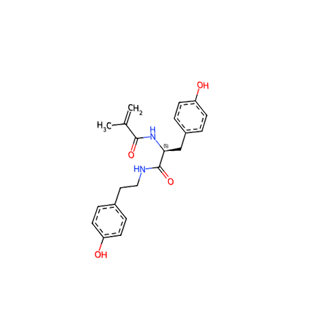 C=C(C)C(=O)N[C@@H](Cc1ccc(O)cc1)C(=O)NCCc1ccc(O)cc1